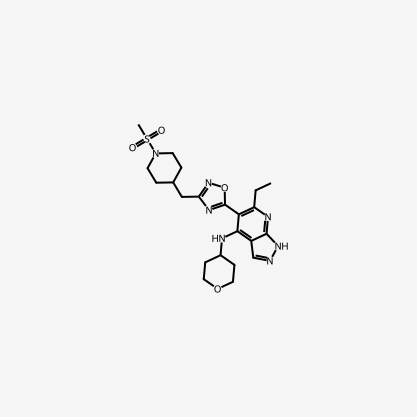 CCc1nc2[nH]ncc2c(NC2CCOCC2)c1-c1nc(CC2CCN(S(C)(=O)=O)CC2)no1